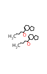 C=CCCC(=O)C1=CCCC2(CCCC2)C1.C=CCCC(=O)C1=CCCC2(CCCC2)C1